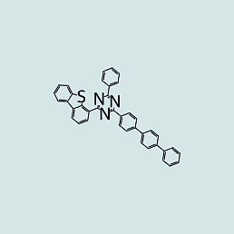 c1ccc(-c2ccc(-c3ccc(-c4nc(-c5ccccc5)nc(-c5cccc6c5sc5ccccc56)n4)cc3)cc2)cc1